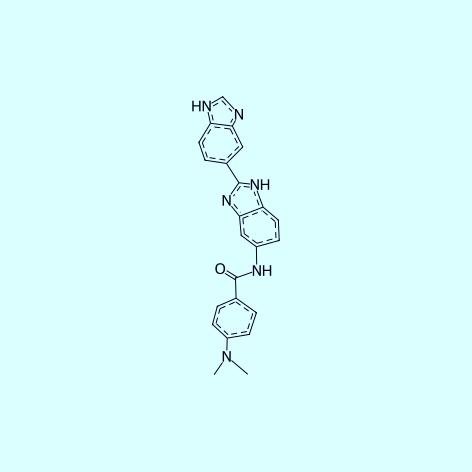 CN(C)c1ccc(C(=O)Nc2ccc3[nH]c(-c4ccc5[nH]cnc5c4)nc3c2)cc1